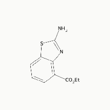 CCOC(=O)c1cccc2sc(N)nc12